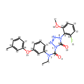 CCN(C(=O)n1nnn(-c2c(F)cccc2OC)c1=O)c1cccc(Oc2cccc(C)c2)c1